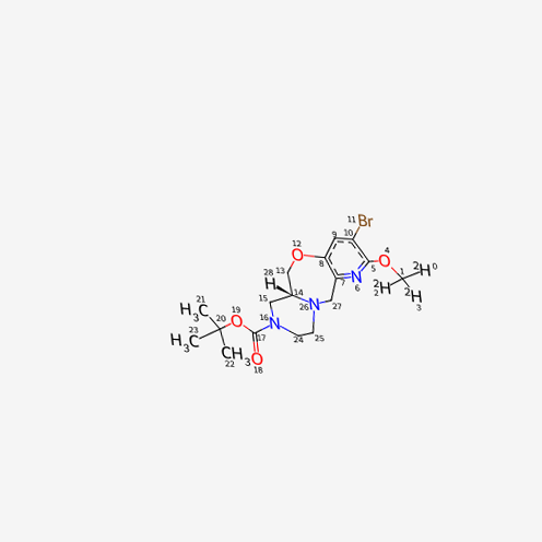 [2H]C([2H])([2H])Oc1nc2c(cc1Br)OC[C@H]1CN(C(=O)OC(C)(C)C)CCN1C2